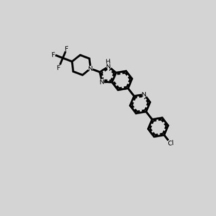 FC(F)(F)C1CCN(c2nc3cc(-c4ccc(-c5ccc(Cl)cc5)cn4)ccc3[nH]2)CC1